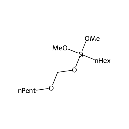 CCCCCC[Si](OC)(OC)OCOCCCCC